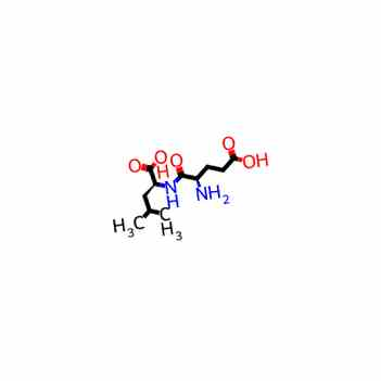 CC(C)C[C@H](NC(=O)[C@H](N)CCC(=O)O)C(=O)O